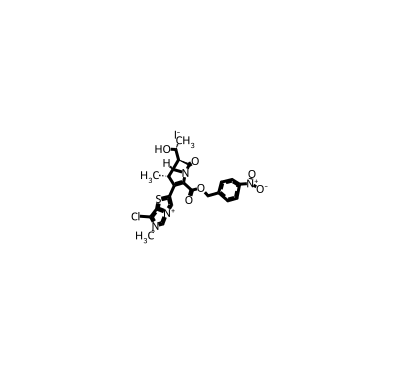 C[C@@H](O)[C@H]1C(=O)N2C(C(=O)OCc3ccc([N+](=O)[O-])cc3)=C(c3c[n+]4cn(C)c(Cl)c4s3)[C@H](C)[C@H]12.[I-]